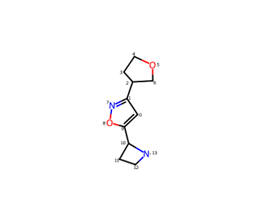 c1c(C2CCOC2)noc1C1CC[N]1